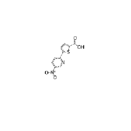 O=C(O)c1ccc(-c2ccc([N+](=O)[O-])cn2)s1